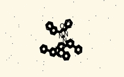 c1ccc(-c2ccc3c(c2)-c2cc4c(c5c2CC3c2ccccc2-5)c2cc(-c3ccccc3)ccc2n4-c2nc(-c3ccc4ccccc4c3)c3oc4ccccc4c3n2)cc1